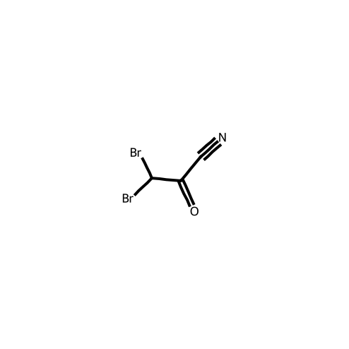 N#CC(=O)C(Br)Br